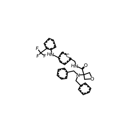 O=C(NCc1ccc(Nc2ccccc2C(F)(F)F)cc1)C1(N(Cc2ccccc2)Cc2ccccc2)COC1